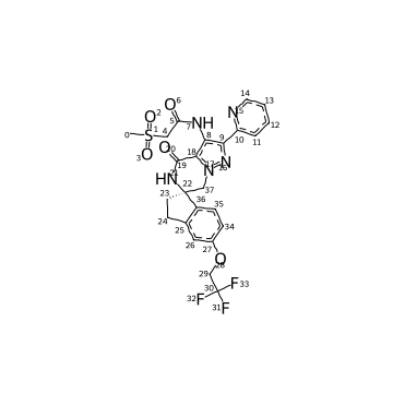 CS(=O)(=O)CC(=O)Nc1c(-c2ccccn2)nn2c1C(=O)N[C@@]1(CCc3cc(OCC(F)(F)F)ccc31)C2